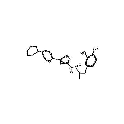 CC(Cc1ccc(O)c(O)c1)C(=O)Nc1nc(-c2ccc(C3CCCCC3)cc2)cs1